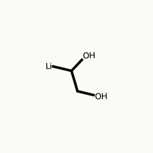 [Li][CH](O)CO